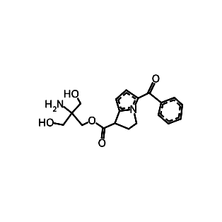 NC(CO)(CO)COC(=O)C1CCn2c(C(=O)c3ccccc3)ccc21